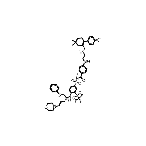 CC1(C)CCC(c2ccc(Cl)cc2)=C(CNCCNc2ccc(C(=O)NS(=O)(=O)c3ccc(N[C@H](CCCN4CCOCC4)CSc4ccccc4)c(S(=O)(=O)C(F)(F)F)c3)cc2)C1